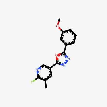 COc1cccc(-c2nnc(-c3cnc(F)c(C)c3)o2)c1